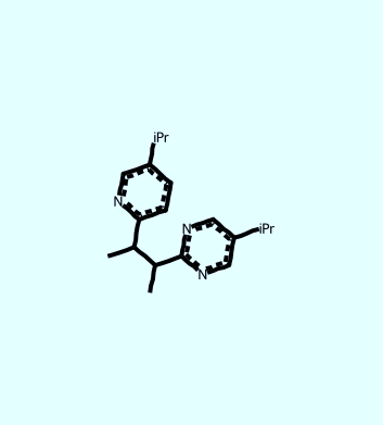 CC(C)c1ccc(C(C)C(C)c2ncc(C(C)C)cn2)nc1